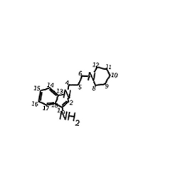 Nc1cn(CCCN2CCCCC2)c2ccccc12